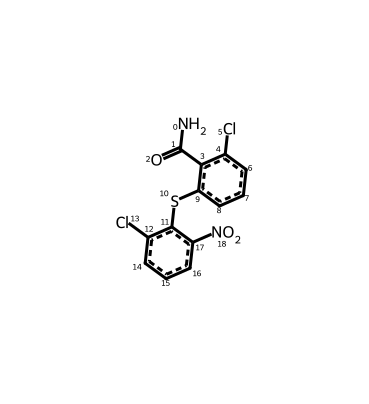 NC(=O)c1c(Cl)cccc1Sc1c(Cl)cccc1[N+](=O)[O-]